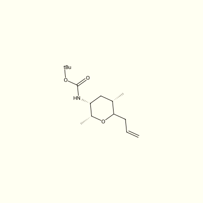 C=CCC1O[C@H](C)[C@H](NC(=O)OC(C)(C)C)C[C@@H]1C